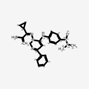 BC(=C)/C(=N\N1CN=C(c2ccccc2)C=C1Nc1ccc([S+]([O-])N(C)C)cc1)C1CC1